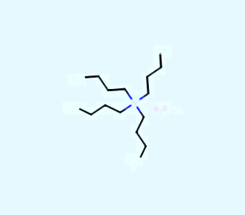 CCCC[N+](CCCC)(CCCC)CCCC.O.[Br-]